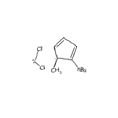 CCCCC1=CC=C[C]1C.[Cl][Ti][Cl]